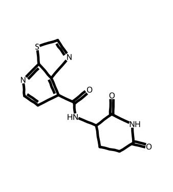 O=C1CCC(NC(=O)c2ccnc3scnc23)C(=O)N1